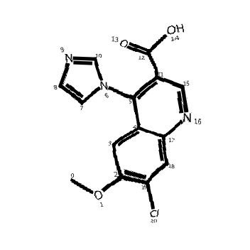 COc1cc2c(-n3ccnc3)c(C(=O)O)cnc2cc1Cl